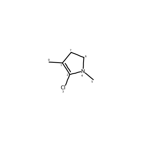 CC1=C(Cl)N(C)CC1